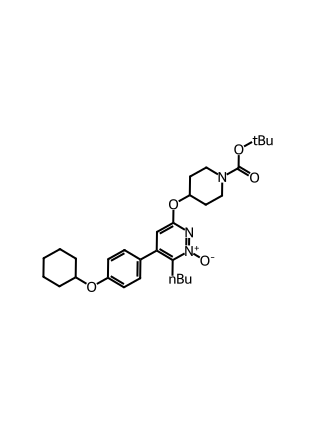 CCCCc1c(-c2ccc(OC3CCCCC3)cc2)cc(OC2CCN(C(=O)OC(C)(C)C)CC2)n[n+]1[O-]